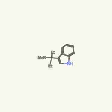 CCC(CC)(NC)c1c[nH]c2ccccc12